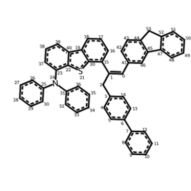 C(=C(\Cc1ccc(-c2ccccc2)cc1)c1cccc2c1sc1c(N(c3ccccc3)c3ccccc3)cccc12)/c1ccc2c(c1)-c1ccccc1C2